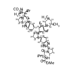 COC(=O)N[C@H](C(=O)N1CCC[C@H]1c1nc2ccc([C@H]3CC[C@H](c4ccc5nc([C@@H]6CCCN6C(=O)[C@H](C(C)C)N(C)C(=O)O)[nH]c5c4)N3c3cc(F)c(N4CC(C)CC(C)C4)c(F)c3)cc2[nH]1)C(C)C